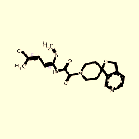 C=N/C(=C\C=C(/C)Cl)NC(=O)C(=O)N1CCC2(CC1)OCc1ccncc12